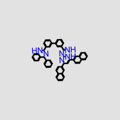 N=C(/N=c1/nc(-c2ccc3ccccc3c2)cc(-c2ccc3ccccc3c2)[nH]1)c1cccc(-c2cccc(C3N=C(c4ccccc4)c4ccccc4N3)c2)c1